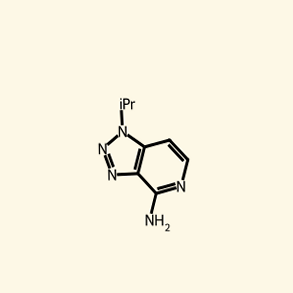 CC(C)n1nnc2c(N)nccc21